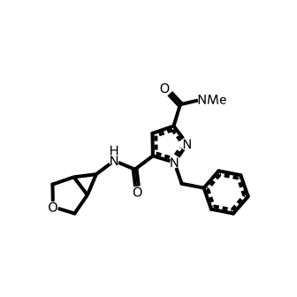 CNC(=O)c1cc(C(=O)NC2C3COCC32)n(Cc2ccccc2)n1